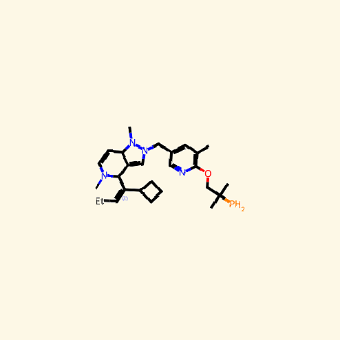 CC/C=C(/C1CCC1)C1C2=CN(Cc3cnc(OCC(C)(C)P)c(C)c3)N(C)C2C=CN1C